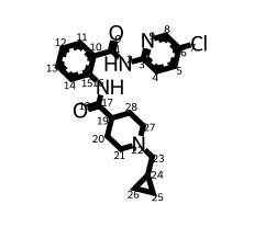 O=C(Nc1ccc(Cl)cn1)c1ccccc1NC(=O)C1CCN(CC2CC2)CC1